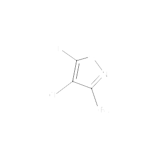 CC(C)(C)c1noc(F)c1Cl